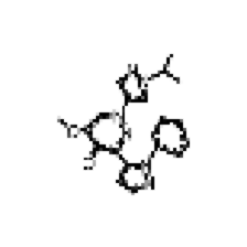 COc1cn(-c2cnn(C(C)C)c2)nc(-c2ccnn2-c2ccccc2)c1=O